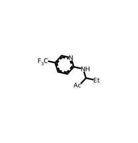 CCC(Nc1ccc(C(F)(F)F)cn1)C(C)=O